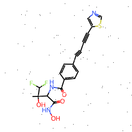 CC(O)(C(F)F)C(NC(=O)c1ccc(C#CC#Cc2cncs2)cc1)C(=O)NO